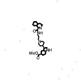 COC(=O)c1ccc2[nH]cc(C3CCN(CCCNC(=O)c4nccc5ccccc45)CC3)c2c1